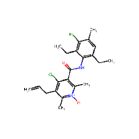 C=CCc1c(Cl)c(C(=O)Nc2c(CC)cc(C)c(Br)c2CC)c(C)[n+]([O-])c1C